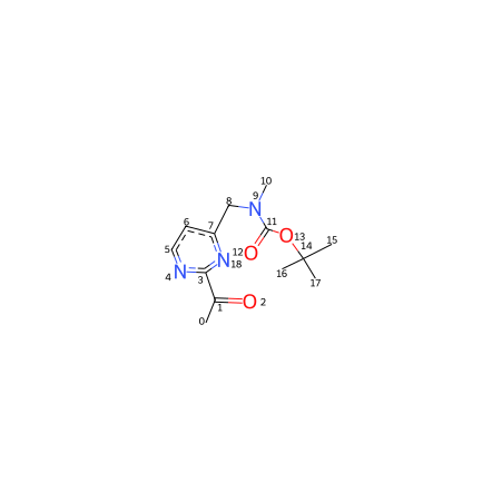 CC(=O)c1nccc(CN(C)C(=O)OC(C)(C)C)n1